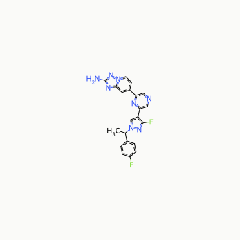 CC(c1ccc(F)cc1)n1cc(-c2cncc(-c3ccn4nc(N)nc4c3)n2)c(F)n1